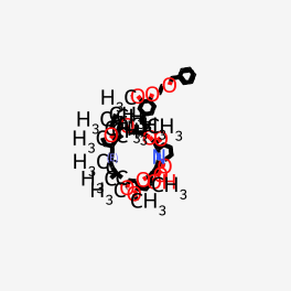 CCC1/C=C(\C)CC(C)CC(OC)C2OC(O)(C(=O)C(=O)N3CCCCC3C(=O)OC(C(C)=CC3CCC(OCCOCc4ccccc4)C(OC)C3)C(C)C(O[Si](C)(C)C(C)(C)C)CC1=O)C(C)CC2OC